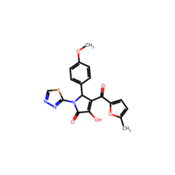 COc1ccc(C2C(C(=O)c3ccc(C)o3)=C(O)C(=O)N2c2nncs2)cc1